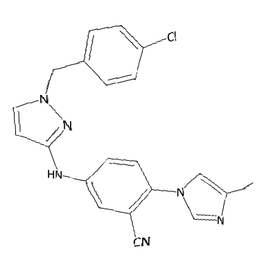 Cc1cn(-c2ccc(Nc3ccn(Cc4ccc(Cl)cc4)n3)cc2C#N)cn1